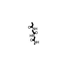 CCC(=O)NCC(=O)NCC(=O)NC